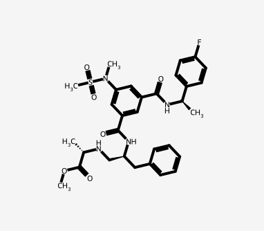 COC(=O)[C@H](C)NC[C@H](Cc1ccccc1)NC(=O)c1cc(C(=O)N[C@H](C)c2ccc(F)cc2)cc(N(C)S(C)(=O)=O)c1